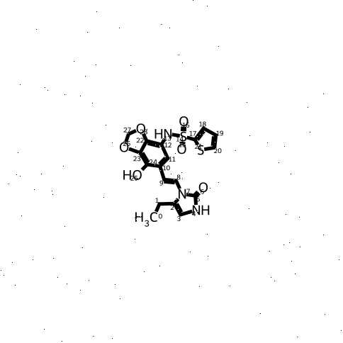 CCc1c[nH]c(=O)n1/C=C/c1cc(NS(=O)(=O)c2cccs2)c2c(c1O)OCO2